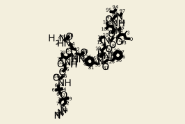 CC[C@H](C)[C@@H]([C@@H](CC(=O)N1CCC[C@H]1[C@H](OC)[C@@H](C)C(=O)N[C@@H](Cc1ccccc1)C(=O)NCc1ccc(NC(=O)[C@H](CCCNC(N)=O)NC(=O)[C@@H](NC(=O)COCC(=O)NCC(C)(C)COC(C)(CC)CCN=[N+]=[N-])C(C)C)cc1)OC)N(C)C(=O)[C@@H](NC(=O)[C@H](C(C)C)N(C)C)C(C)C